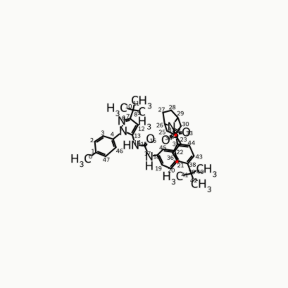 Cc1ccc(-n2nc(C(C)(C)C)cc2NC(=O)Nc2cccc(CC3CC4CCC(C3)N4S(=O)(=O)c3ccc(C(C)(C)C)cc3)c2)cc1